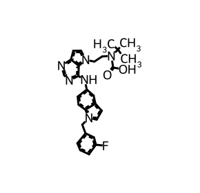 CC(C)(C)N(CCn1ccc2ncnc(Nc3ccc4c(ccn4Cc4cccc(F)c4)c3)c21)C(=O)O